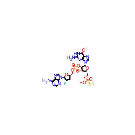 Nc1nc2c(ncn2[C@@H]2O[C@H](COP(=O)(O)S)C[C@H]2OP(=O)(O)OC[C@@H]2C[C@H](F)[C@@H](n3cnc4c(N)ncnc43)O2)c(=O)[nH]1